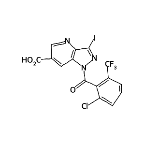 O=C(O)c1cnc2c(I)nn(C(=O)c3c(Cl)cccc3C(F)(F)F)c2c1